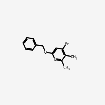 Cc1nc(OCc2ccccc2)cc(Br)c1C